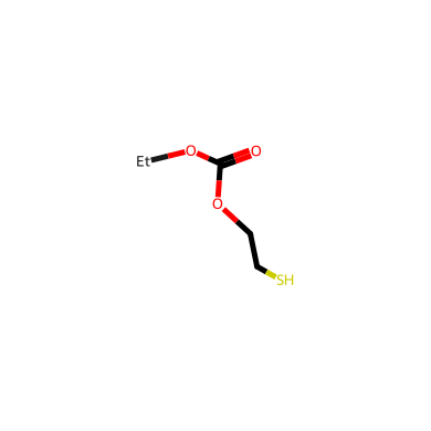 CCOC(=O)OCCS